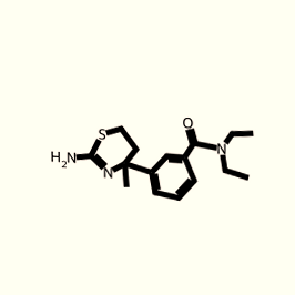 CCN(CC)C(=O)c1cccc(C2(C)CCSC(N)=N2)c1